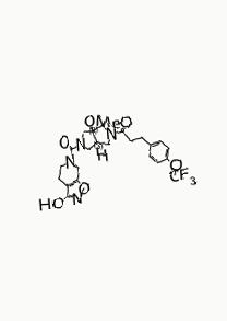 CO[C@@]12CN(C(=O)CCc3ccc(OC(F)(F)F)cc3)C[C@H]1CN(C(=O)N1CCc3c(O)noc3C1)C2